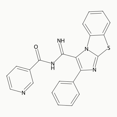 N=C(NC(=O)c1cccnc1)c1c(-c2ccccc2)nc2sc3ccccc3n12